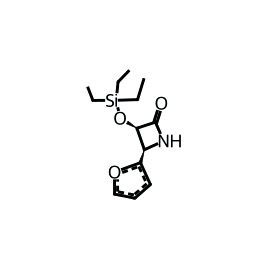 CC[Si](CC)(CC)O[C@H]1C(=O)N[C@H]1c1ccco1